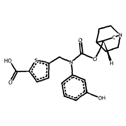 O=C(O)c1ccc(CN(C(=O)O[C@H]2CN3CCC2CC3)c2cccc(O)c2)s1